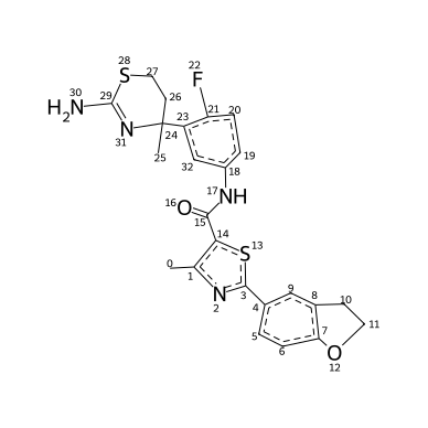 Cc1nc(-c2ccc3c(c2)CCO3)sc1C(=O)Nc1ccc(F)c(C2(C)CCSC(N)=N2)c1